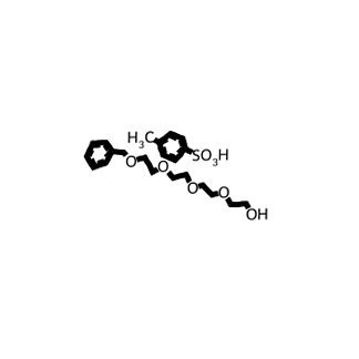 Cc1ccc(S(=O)(=O)O)cc1.OCCOCCOCCOCCOCc1ccccc1